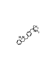 C[C@@H](N)Cc1ccc(CC(N)Cc2ccccc2)cc1